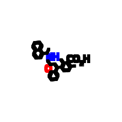 Cc1ccc([C@@H]2C[C@H](CN[C@H](C)c3cccc4ccccc34)Oc3ccccc32)c(C)c1C(=O)O